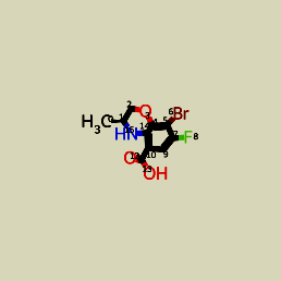 C[C@H]1COc2c(Br)c(F)cc(C(=O)O)c2N1